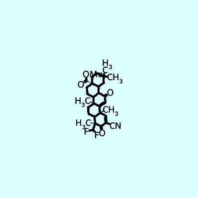 COC(=O)[C@@]12CCC3C(C(=O)C=C4[C@@]5(C)C=C(C#N)C(=O)[C@@](C)(C(F)F)C5CC[C@]43C)C1CC(C)(C)CC2